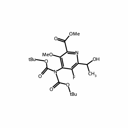 COC(=O)c1nc(C(C)O)c(F)c(N(C(=O)OC(C)(C)C)C(=O)OC(C)(C)C)c1OC